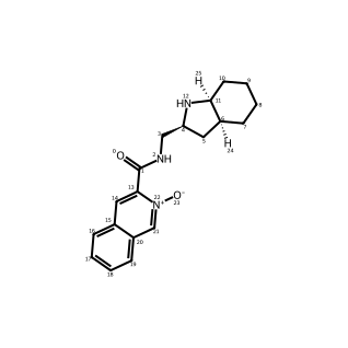 O=C(NC[C@@H]1C[C@@H]2CCCC[C@@H]2N1)c1cc2ccccc2c[n+]1[O-]